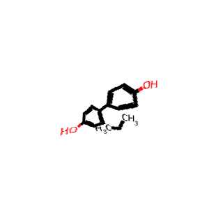 CCC.Oc1ccc(-c2ccc(O)cc2)cc1